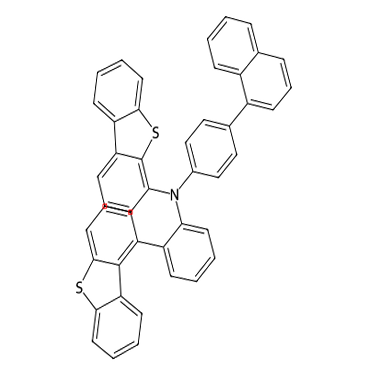 c1ccc(N(c2ccc(-c3cccc4ccccc34)cc2)c2cccc3c2sc2ccccc23)c(-c2cccc3sc4ccccc4c23)c1